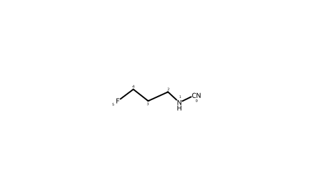 N#CNCCCF